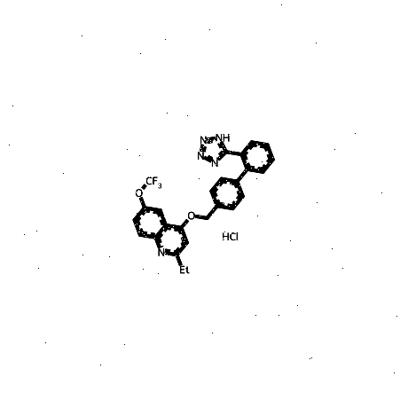 CCc1cc(OCc2ccc(-c3ccccc3-c3nnn[nH]3)cc2)c2cc(OC(F)(F)F)ccc2n1.Cl